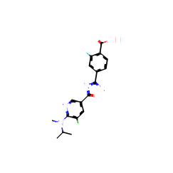 CC(C)N(C)c1ncc(-c2nc(-c3ccc(C(=O)O)c(F)c3)no2)cc1Cl